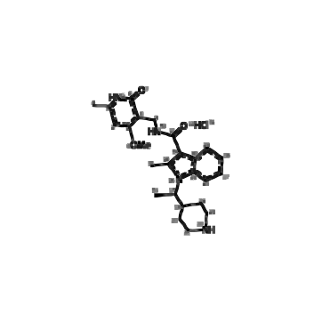 COc1cc(C)[nH]c(=O)c1CNC(=O)c1c(C)n([C@H](C)C2CCNCC2)c2ccccc12.Cl